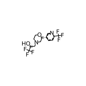 O[C@@H](CN1CCO[C@H](c2ccc(C(F)(F)F)nc2)C1)C(F)(F)F